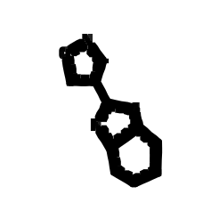 [c]1nocc1-c1nc2ccccc2s1